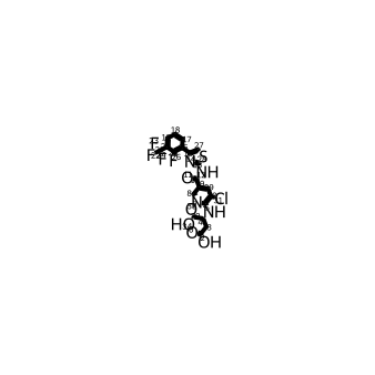 O=C(O)CC(Nc1ncc(C(=O)Nc2nc(-c3cccc(C(F)(F)F)c3F)cs2)cc1Cl)C(=O)O